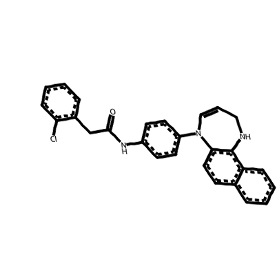 O=C(Cc1ccccc1Cl)Nc1ccc(N2C=CCNc3c2ccc2ccccc32)cc1